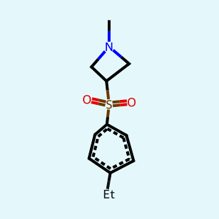 CCc1ccc(S(=O)(=O)C2CN(C)C2)cc1